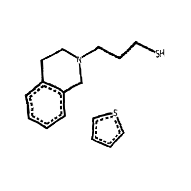 SCCCN1CCc2ccccc2C1.c1ccsc1